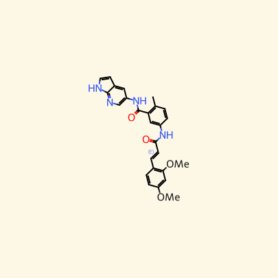 COc1ccc(/C=C/C(=O)Nc2ccc(C)c(C(=O)Nc3cnc4[nH]ccc4c3)c2)c(OC)c1